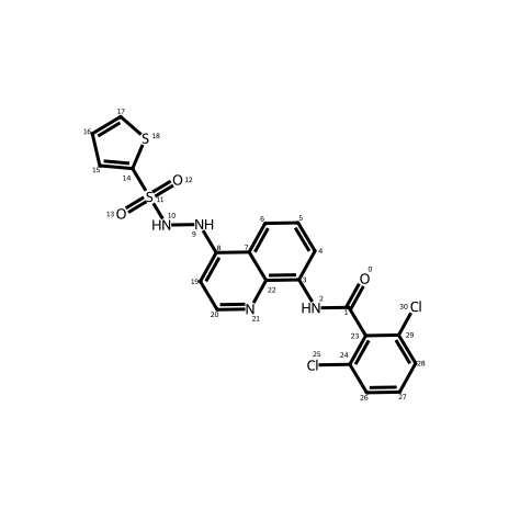 O=C(Nc1cccc2c(NNS(=O)(=O)c3cccs3)ccnc12)c1c(Cl)cccc1Cl